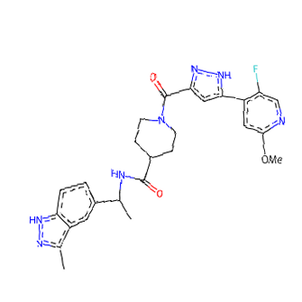 COc1cc(-c2cc(C(=O)N3CCC(C(=O)NC(C)c4ccc5[nH]nc(C)c5c4)CC3)n[nH]2)c(F)cn1